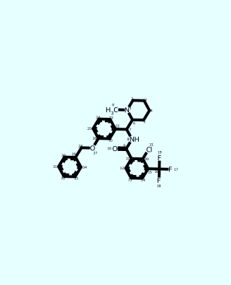 CN1CCCCC1C(NC(=O)c1cccc(C(F)(F)F)c1Cl)c1cccc(OCc2ccccc2)c1